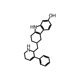 Oc1ccc2c3c([nH]c2c1)CCC(CC1NCCC=C1c1ccccc1)C3